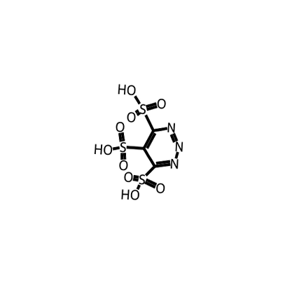 O=S(=O)(O)c1nnnc(S(=O)(=O)O)c1S(=O)(=O)O